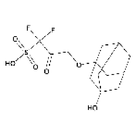 O=C(COC12CC3CC(CC(O)(C3)C1)C2)C(F)(F)S(=O)(=O)O